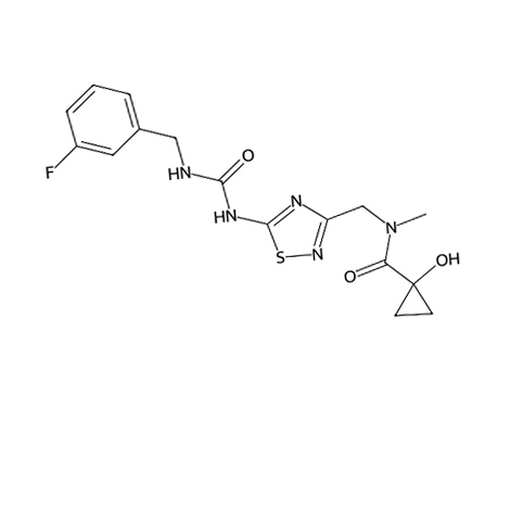 CN(Cc1nsc(NC(=O)NCc2cccc(F)c2)n1)C(=O)C1(O)CC1